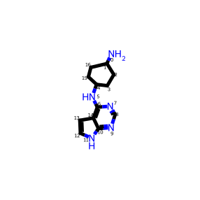 NC1CCC(Nc2ncnc3[nH]ccc23)CC1